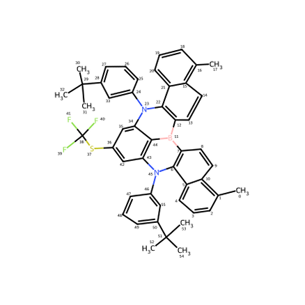 Cc1cccc2c3c(ccc12)B1c2ccc4c(C)cccc4c2N(c2cccc(C(C)(C)C)c2)c2cc(SC(F)(F)F)cc(c21)N3c1cccc(C(C)(C)C)c1